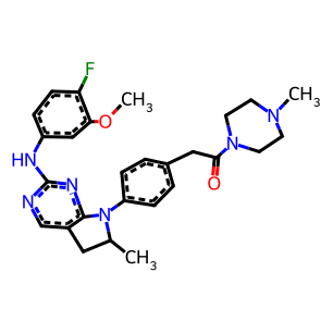 COc1cc(Nc2ncc3c(n2)N(c2ccc(CC(=O)N4CCN(C)CC4)cc2)C(C)C3)ccc1F